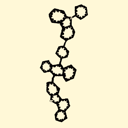 c1ccc(-n2c3ccccc3c3cc(-c4ccc(-c5c6ccccc6c(-c6ccc7oc8c9ccccc9ccc8c7c6)c6ccccc56)cc4)ccc32)cc1